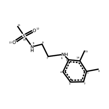 Cc1c[c]cc(NCCNS(C)(=O)=O)c1C